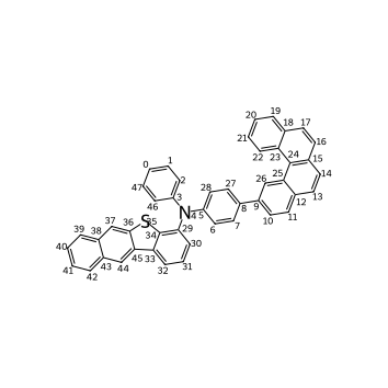 c1ccc(N(c2ccc(-c3ccc4ccc5ccc6ccccc6c5c4c3)cc2)c2cccc3c2sc2cc4ccccc4cc23)cc1